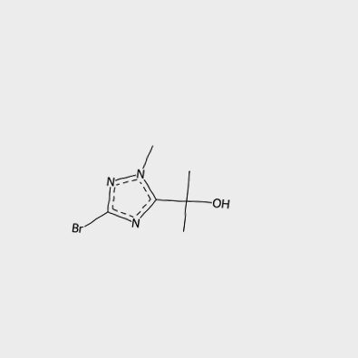 Cn1nc(Br)nc1C(C)(C)O